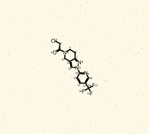 O=C(CCl)N1CCc2nn(-c3ccc(C(F)(F)F)cn3)cc2C1